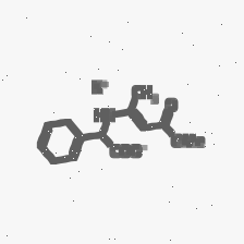 COC(=O)C=C(C)NC(C(=O)[O-])C1=CCC=CC1.[K+]